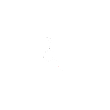 CC(C)OCc1cccc(C2CC2)n1